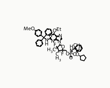 CCOc1nc(NC(c2ccccc2)(c2ccccc2)c2ccc(OC)cc2)nc2c1ncn2[C@@H]1O[C@](F)(COP(=O)(N[C@@H](C)C(=O)OC2CCCC2)Oc2ccccc2)[C@@H](C)[C@@]1(C)F